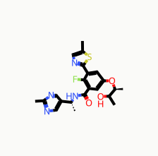 Cc1ncc([C@@H](C)NC(=O)c2cc(O[C@@H](C)C(C)O)cc(-c3ncc(C)s3)c2F)cn1